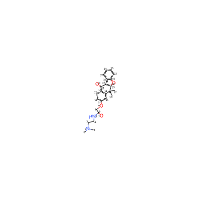 CN(C)CCNC(=O)COc1ccc2c(c1)C(C)(C)c1oc3ccccc3c1C2=O